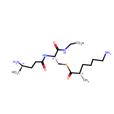 C[C@@H](CCCCN)C(=O)SC[C@H](NC(=O)CC[C@H](N)C(=O)O)C(=O)NCC(=O)O